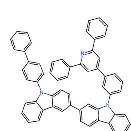 c1ccc(-c2ccc(-n3c4ccccc4c4cc(-c5ccc6c7ccccc7n(-c7cccc(-c8cc(-c9ccccc9)nc(-c9ccccc9)c8)c7)c6c5)ccc43)cc2)cc1